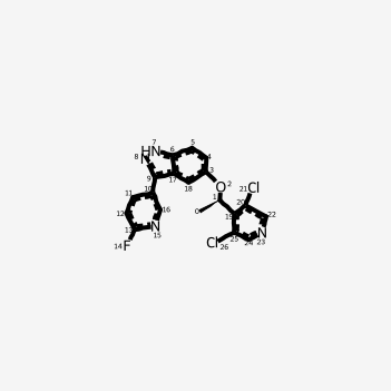 C[C@@H](Oc1ccc2[nH]nc(-c3ccc(F)nc3)c2c1)c1c(Cl)cncc1Cl